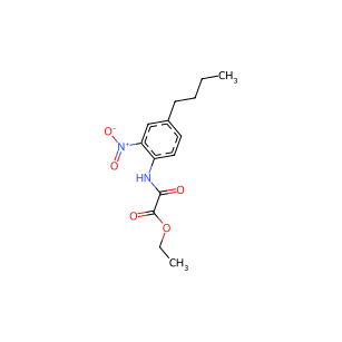 CCCCc1ccc(NC(=O)C(=O)OCC)c([N+](=O)[O-])c1